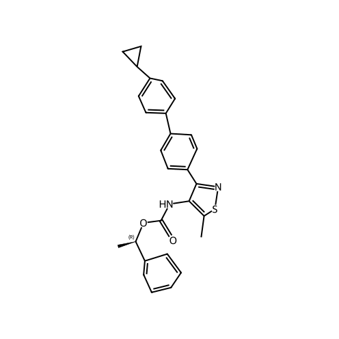 Cc1snc(-c2ccc(-c3ccc(C4CC4)cc3)cc2)c1NC(=O)O[C@H](C)c1ccccc1